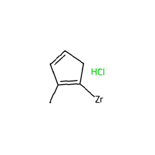 CC1=[C]([Zr])CC=C1.Cl